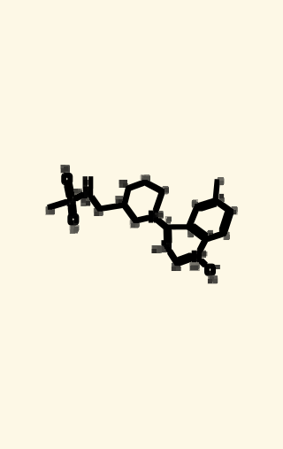 Cc1ccc2c(c1)c(N1CCCC(CNS(C)(=O)=O)C1)nc[n+]2[O-]